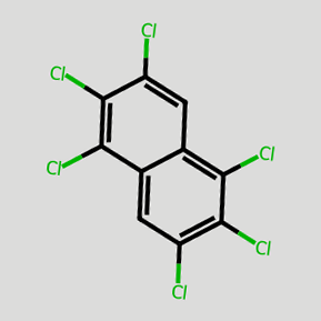 Clc1cc2c(Cl)c(Cl)c(Cl)cc2c(Cl)c1Cl